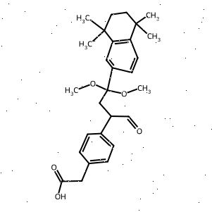 COC(CC(C=O)c1ccc(CC(=O)O)cc1)(OC)c1ccc2c(c1)C(C)(C)CCC2(C)C